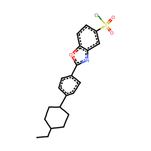 CCC1CCC(c2ccc(-c3nc4cc(S(=O)(=O)Cl)ccc4o3)cc2)CC1